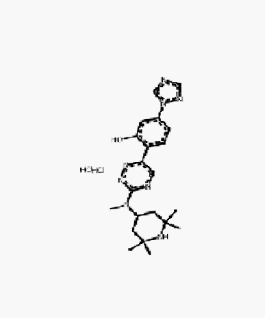 CN(c1ncc(-c2ccc(-n3cncn3)cc2O)nn1)C1CC(C)(C)NC(C)(C)C1.Cl.Cl